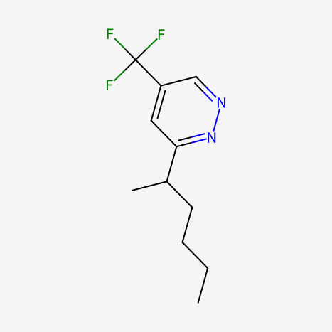 CCCCC(C)c1cc(C(F)(F)F)cnn1